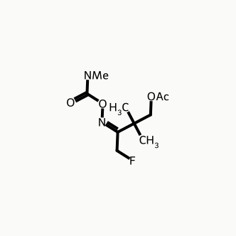 CNC(=O)ON=C(CF)C(C)(C)COC(C)=O